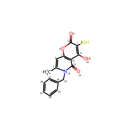 Cc1cc2oc(=O)c(S)c(O)c2c(=O)n1Cc1ccccc1